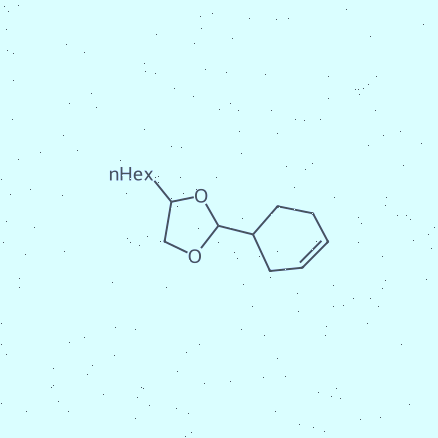 CCCCCCC1COC(C2CC=CCC2)O1